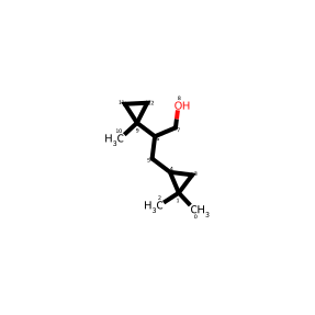 CC1(C)CC1CC(CO)C1(C)CC1